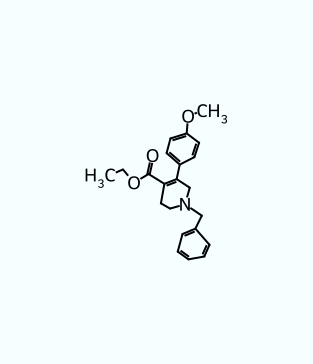 CCOC(=O)C1=C(c2ccc(OC)cc2)CN(Cc2ccccc2)CC1